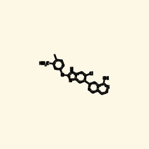 Cc1ccc(Oc2nc3cc(-c4ccc5ccnc(O)c5c4)c(Cl)cc3[nH]2)cc1C(=O)O